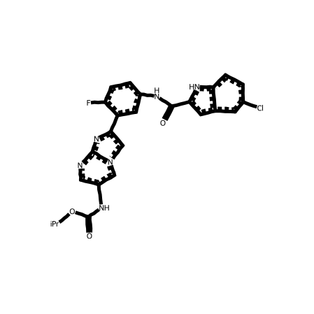 CC(C)OC(=O)Nc1cnc2nc(-c3cc(NC(=O)c4cc5cc(Cl)ccc5[nH]4)ccc3F)cn2c1